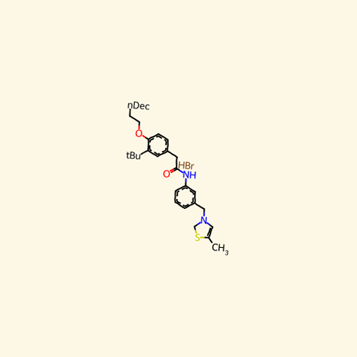 Br.CCCCCCCCCCCCOc1ccc(CC(=O)Nc2cccc(CN3C=C(C)SC3)c2)cc1C(C)(C)C